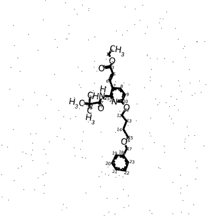 CCOC(=O)C=Cc1ccc(OCCCCOCc2ccccc2)nc1NC(=O)C(C)(C)C